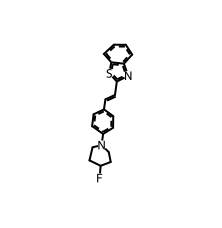 FC1CCN(c2ccc(C=Cc3nc4ccccc4s3)cc2)CC1